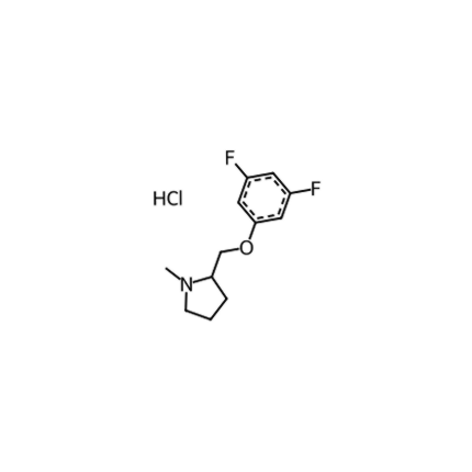 CN1CCCC1COc1cc(F)cc(F)c1.Cl